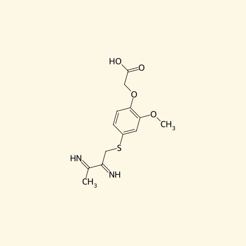 COc1cc(SCC(=N)C(C)=N)ccc1OCC(=O)O